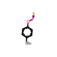 CC(C)(C)c1ccc(OP=S)cc1